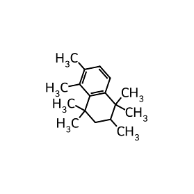 Cc1ccc2c(c1C)C(C)(C)CC(C)C2(C)C